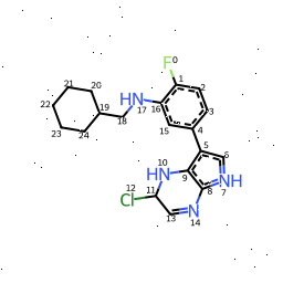 Fc1ccc(-c2c[nH]c3c2NC(Cl)C=N3)cc1NCC1CCCCC1